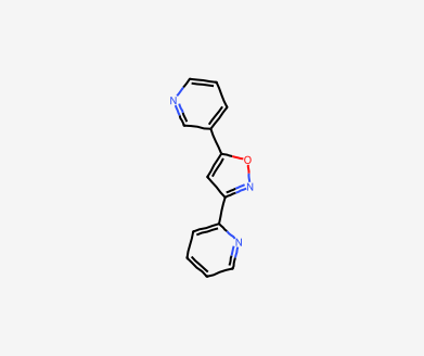 c1ccc(-c2cc(-c3cccnc3)on2)nc1